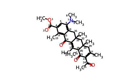 COC(=O)c1cc(N(C)C)c2c(c1C)C(=O)C1=C(C)[C@]3(C)C(=O)C(C(C)=O)=C(C)CC3(C)CC1(C)C2